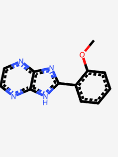 COc1ccccc1-c1nc2nccnc2[nH]1